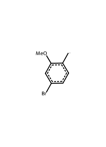 [CH2]c1ccc(Br)cc1OC